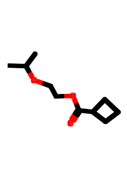 CC(C)OCCOC(=O)C1CCC1